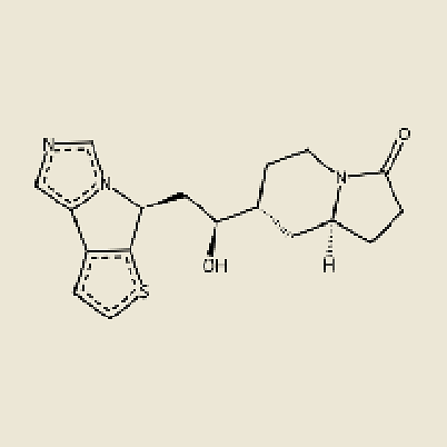 O=C1CC[C@H]2C[C@H]([C@@H](O)C[C@H]3c4sccc4-c4cncn43)CCN12